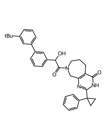 CC(C)(C)c1cccc(-c2cccc(C(O)C(=O)N3CCCc4c(nc(C5(c6ccccc6)CC5)[nH]c4=O)C3)c2)c1